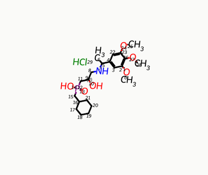 COc1cc(C(C)NC[C@@H](O)CP(=O)(O)CC2CCCCC2)cc(OC)c1OC.Cl